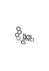 Clc1ncc2ncn(-c3sccc3C3CCc4ccc5c(ccc6ccccc65)c4C3)c2n1